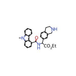 CCOC(=O)C(NC(=O)c1cccc2c1c1ccccc1n2C)c1ccc2c(c1)CNCC2